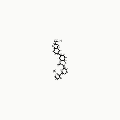 CC(C)n1cnnc1-c1cccc(N2Cc3ccc(-c4ccc5nc(C(=O)O)sc5c4)cc3C2=O)n1